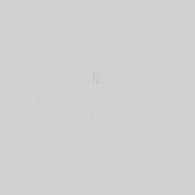 Cc1ccc2c(c1)NCC(CO)O2